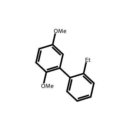 CCc1ccccc1-c1cc(OC)ccc1OC